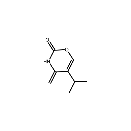 C=C1NC(=O)OC=C1C(C)C